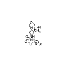 Cc1cc(NC(=O)C2(NC(=O)c3ccc(Br)s3)CCOC2)ccc1N1CCOCCC1=NC#N